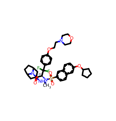 CN([C@@H](C(=O)N1C2CCC1CC(N)C2)C(F)(F)c1ccc(OCCN2CCOCC2)cc1)S(=O)(=O)c1ccc2cc(OC3CCCC3)ccc2c1